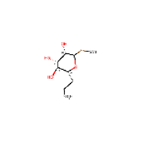 CSSC1O[C@H](CCS(=O)(=O)O)[C@@H](O)[C@H](O)[C@@H]1O